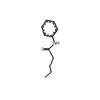 O=C(CCCI)Nc1ccccc1